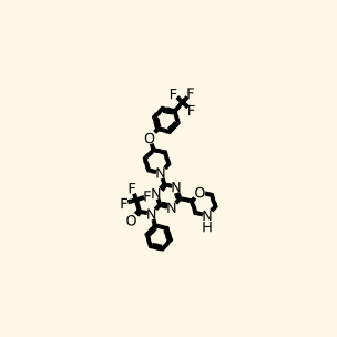 O=C(N(c1ccccc1)c1nc(C2CNCCO2)nc(N2CCC(Oc3ccc(C(F)(F)F)cc3)CC2)n1)C(F)(F)F